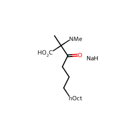 CCCCCCCCCCCC(=O)C(C)(NC)C(=O)O.[NaH]